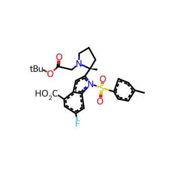 Cc1ccc(S(=O)(=O)n2c([C@@]3(C)CCCN3CC(=O)OC(C)(C)C)cc3c(C(=O)O)cc(F)cc32)cc1